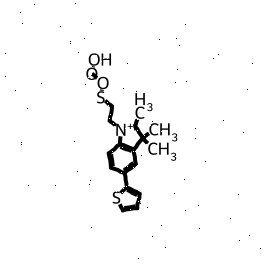 CC1=[N+](CCSOOO)c2ccc(-c3cccs3)cc2C1(C)C